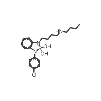 CCCCNCCCCN1c2ccccc2N(c2ccc(Cl)cc2)S1(O)O